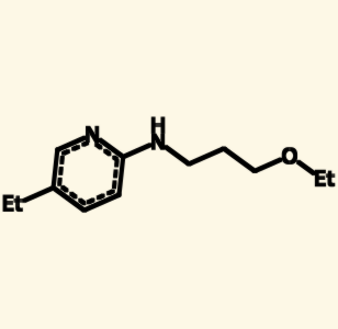 CCOCCCNc1ccc(CC)cn1